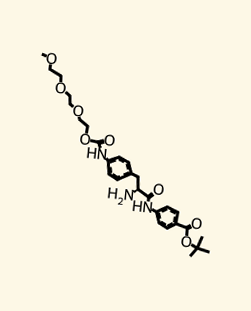 COCCOCCOCCOC(=O)Nc1ccc(C[C@H](N)C(=O)Nc2ccc(C(=O)OC(C)(C)C)cc2)cc1